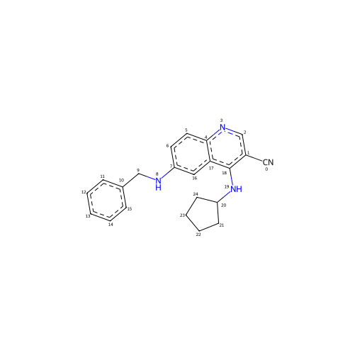 N#Cc1cnc2ccc(NCc3ccccc3)cc2c1NC1CCCC1